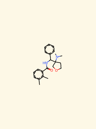 Cc1cccc(C(=O)NC(c2ccccc2)C2(N(C)C)CCOC2)c1C